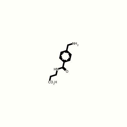 NCc1ccc(C(=O)NCCC(=O)O)cc1